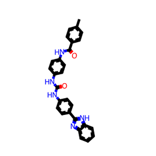 Cc1ccc(C(=O)Nc2ccc(NC(=O)Nc3ccc(-c4nc5ccccc5[nH]4)cc3)cc2)cc1